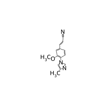 COc1cc(C=CC#N)ccc1-n1cnc(C)c1